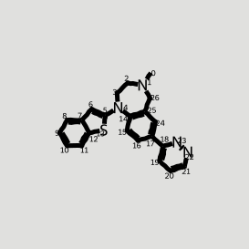 CN1CCN(c2cc3ccccc3s2)c2ccc(-c3cccnn3)cc2C1